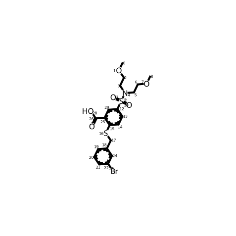 COCCN(CCOC)S(=O)(=O)c1ccc(SCc2cccc(Br)c2)c(C(=O)O)c1